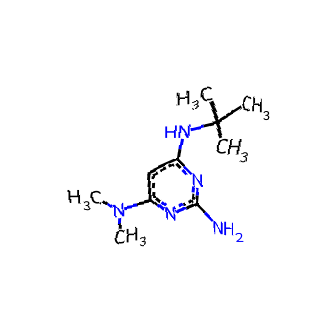 CN(C)c1cc(NC(C)(C)C)nc(N)n1